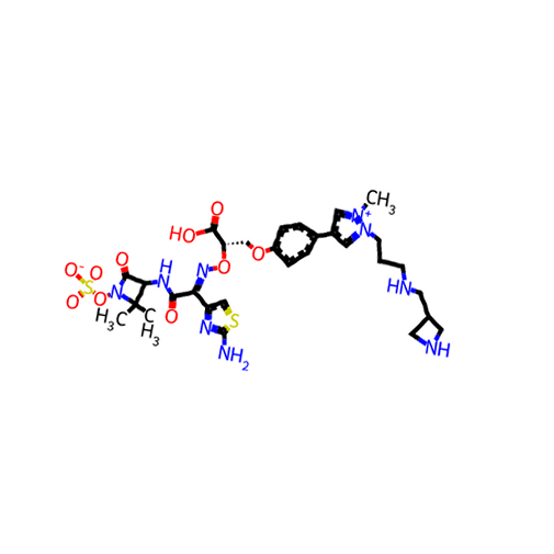 C[n+]1cc(-c2ccc(OC[C@H](O/N=C(/C(=O)NC3C(=O)N(OS(=O)(=O)[O-])C3(C)C)c3csc(N)n3)C(=O)O)cc2)cn1CCCNCC1CNC1